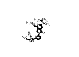 CCc1nnc(-c2cccc(N3Cc4c(cc(N(C)C(C)C)nc4CNC)C3=O)n2)n1CC